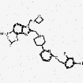 O=C(O)c1ccc2c(nc(CN3CCC(c4cccc(OCc5ccc(Cl)cc5F)n4)CC3)n2C[C@@H]2CCO2)c1OC(F)F